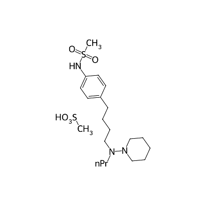 CCCN(CCCCc1ccc(NS(C)(=O)=O)cc1)N1CCCCC1.CS(=O)(=O)O